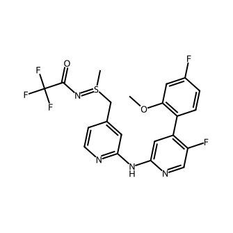 COc1cc(F)ccc1-c1cc(Nc2cc(CS(C)=NC(=O)C(F)(F)F)ccn2)ncc1F